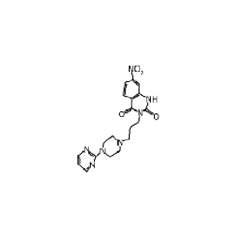 O=c1[nH]c2cc([N+](=O)[O-])ccc2c(=O)n1CCCN1CCN(c2ncccn2)CC1